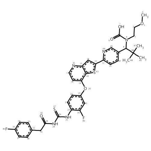 COCCN(C(=O)O)C(c1ccc(-c2cc3nccc(Oc4ccc(NC(=S)NC(=O)Cc5ccc(F)cc5)c(F)c4)c3s2)nc1)C(C)(C)C